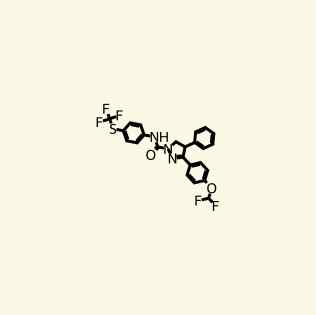 O=C(Nc1ccc(SC(F)(F)F)cc1)N1CC(c2ccccc2)C(c2ccc(OC(F)F)cc2)=N1